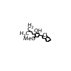 C=C(C)CCc1c(O)cc(C=Cc2ccccc2Cl)cc1OC